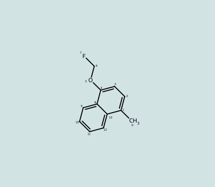 Cc1ccc(OCF)c2ccccc12